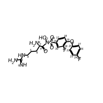 N=C(N)NCCC[C@@H](N)C(=O)N(O)S(=O)(=O)c1ccc(Oc2ccc(F)cc2)c(F)c1